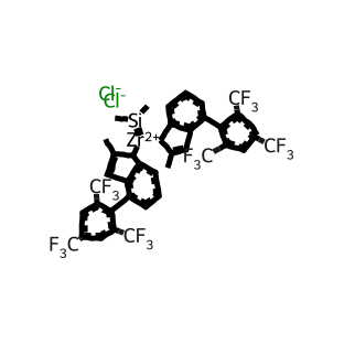 CC1=Cc2c(-c3c(C(F)(F)F)cc(C(F)(F)F)cc3C(F)(F)F)cccc2[CH]1[Zr+2]([CH]1C(C)=Cc2c(-c3c(C(F)(F)F)cc(C(F)(F)F)cc3C(F)(F)F)cccc21)=[Si](C)C.[Cl-].[Cl-]